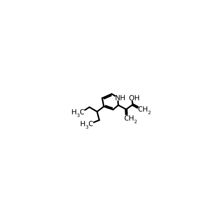 C=C(O)C(=C)C1C=C(C(CC)CC)C=CN1